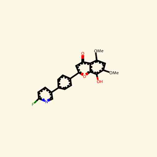 COc1cc(OC)c2c(=O)cc(-c3ccc(-c4ccc(F)nc4)cc3)oc2c1O